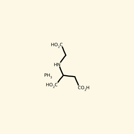 O=C(O)CNC(CC(=O)O)C(=O)O.P